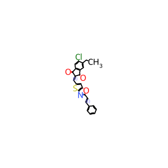 CCc1cc2c(cc1Cl)C(=O)/C(=C/c1cc3oc(/C=C/c4ccccc4)nc3s1)C2=O